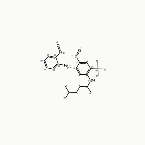 CC(C)CCC(C)Nc1ccc(N=O)cc1C(C)(C)C.Nc1ccccc1N=O